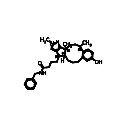 C[C@@H]1CC[C@]2(C)c3nn(C)cc3[C@H](CCCC(=O)NCc3ccccc3)[C@H]2CCCc2cc(O)ccc21